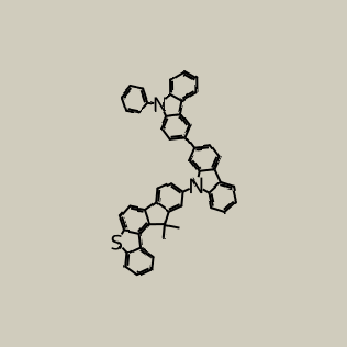 CC1(C)c2cc(-n3c4ccccc4c4ccc(-c5ccc6c(c5)c5ccccc5n6-c5ccccc5)cc43)ccc2-c2ccc3sc4ccccc4c3c21